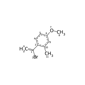 C=C(Br)c1ccc(OC)cc1C